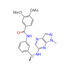 COc1ccc(C(=O)Nc2cccc([C@H](C)Nc3cnc4cnn(C)c4n3)c2)cc1OC